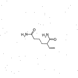 C=CC(CCCC(N)=O)C(N)=O